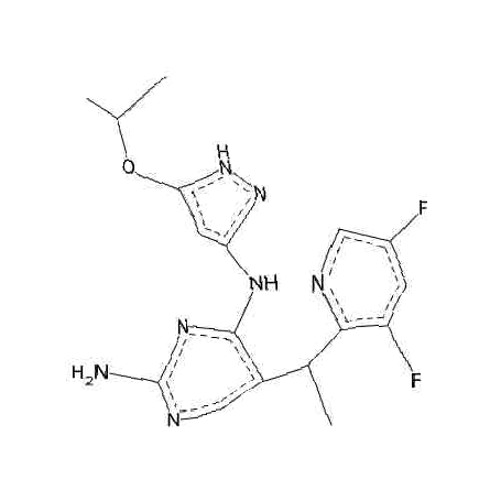 CC(C)Oc1cc(Nc2nc(N)ncc2C(C)c2ncc(F)cc2F)n[nH]1